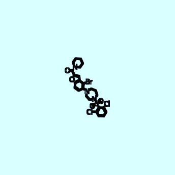 O=C(c1cc2c(Br)c(N3CCCN(S(=O)(=O)c4c(Cl)cccc4Cl)CC3)ccc2o1)N1CCCCC1